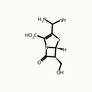 CCCC(N)C1=C(C(=O)O)N2C(=O)[C@H](CO)[C@H]2S1